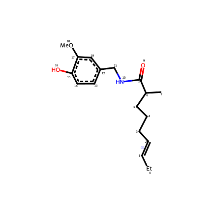 CC/C=C/CCCC(C)C(=O)NCc1ccc(O)c(OC)c1